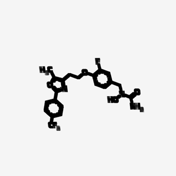 Cc1oc(-c2ccc(C(F)(F)F)cc2)nc1CCOc1ccc(CN(O)C(N)=O)cc1F